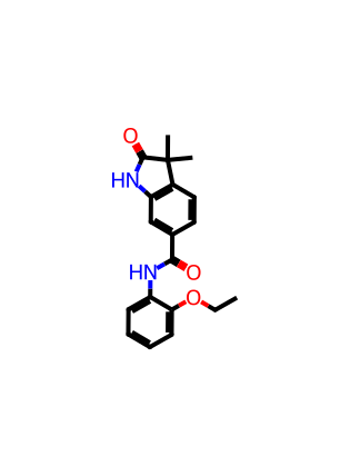 CCOc1ccccc1NC(=O)c1ccc2c(c1)NC(=O)C2(C)C